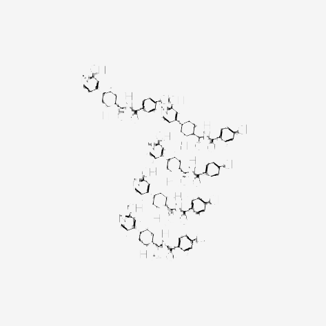 Cc1cc(C2CCC(C(C)NC(=O)c3ccc(Cl)cc3)CC2)ccn1.Cc1cc([C@H]2CC[C@@H]([C@@H](C)NC(=O)c3ccc(Cl)cc3)CC2)ccn1.Cc1cc([C@H]2CC[C@@H]([C@H](C)NC(=O)c3ccc(Cl)cc3)CC2)ccn1.Cc1cc([C@H]2CC[C@H]([C@@H](C)NC(=O)c3ccc(Cl)cc3)CC2)ccn1.Cc1cc([C@H]2CC[C@H]([C@H](C)NC(=O)c3ccc(Cl)cc3)CC2)ccn1